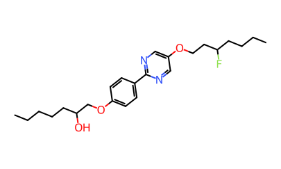 CCCCCC(O)COc1ccc(-c2ncc(OCCC(F)CCCC)cn2)cc1